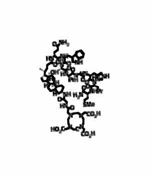 CSCC[C@H](NC(=O)[C@H](CC(C)C)NC(=O)[C@H](Cc1c[nH]cn1)NC(=O)CNC(=O)[C@@H](NC(=O)[C@H](C)NC(=O)[C@H](Cc1c[nH]c2ccccc12)NC(=O)[C@H](CCC(N)=O)NC(=O)CC[C@@H](C)[C@H]1CC[C@H]2[C@@H]3CC[C@@H]4C[C@@H](NC(=O)CNC(=O)CN5CCN(CC(=O)O)CCN(CC(=O)O)CCN(CC(=O)O)CC5)CC[C@]4(C)[C@H]3C[C@H](O)[C@]12C)C(C)C)C(N)=O